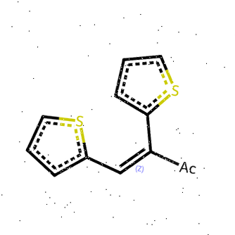 CC(=O)/C(=C/c1cccs1)c1cccs1